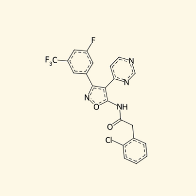 O=C(Cc1ccccc1Cl)Nc1onc(-c2cc(F)cc(C(F)(F)F)c2)c1-c1ccncn1